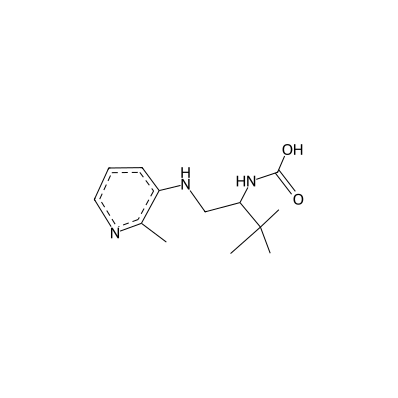 Cc1ncccc1NCC(NC(=O)O)C(C)(C)C